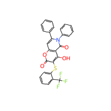 O=c1oc2cc(-c3ccccc3)n(-c3ccccc3)c(=O)c2c(O)c1Sc1ccccc1C(F)(F)F